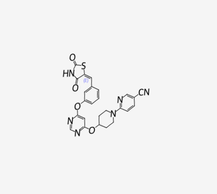 N#Cc1ccc(N2CCC(Oc3cc(Oc4cccc(/C=C5/SC(=O)NC5=O)c4)ncn3)CC2)nc1